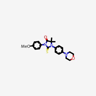 COc1ccc(N2C(=O)C(C)(C)N(c3ccc(N4CCOCC4)cc3)C2=S)cc1